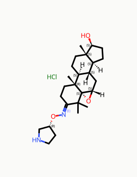 CC1(C)/C(=N/O[C@@H]2CCNC2)CC[C@]2(C)[C@H]3CC[C@]4(C)[C@@H](O)CC[C@H]4[C@@H]3C[C@@H]3O[C@]312.Cl